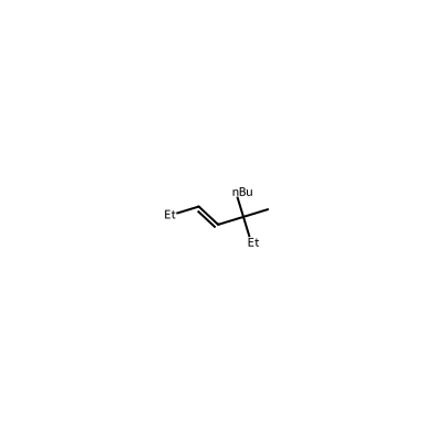 [CH2]CC=CC(C)(CC)CCCC